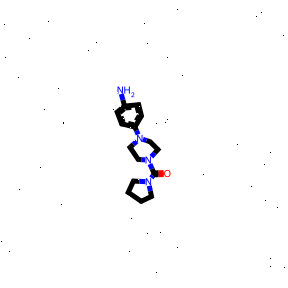 Nc1ccc(N2CCN(C(=O)N3CCCC3)CC2)cc1